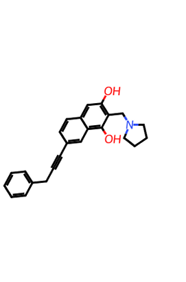 Oc1cc2ccc(C#CCc3ccccc3)cc2c(O)c1CN1CCCC1